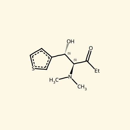 CCC(=O)[C@H]([C@@H](O)c1ccsc1)N(C)C